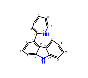 C1=CC=C(c2cccc3[nH]c4ccccc4c23)NC=C1